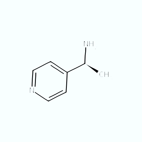 C[C@H](N)c1ccncc1